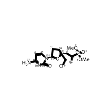 COP(=O)(OC)C(F)C[C@]1(CCl)CC[C@H](n2ccc(N)nc2=O)O1